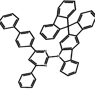 c1ccc(-c2ccc(-c3cc(-c4ccccc4)nc(-n4c5ccccc5c5cc6c(cc54)C4(c5ccccc5-c5ccccc54)c4ccccc4-6)n3)cc2)cc1